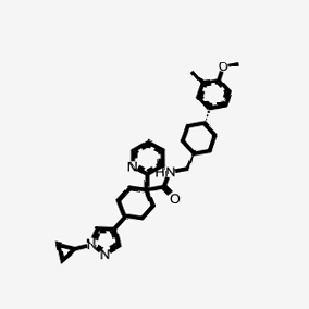 COc1ccc([C@H]2CC[C@H](CNC(=O)C3(c4ccccn4)CCC(c4cnn(C5CC5)c4)CC3)CC2)cc1C